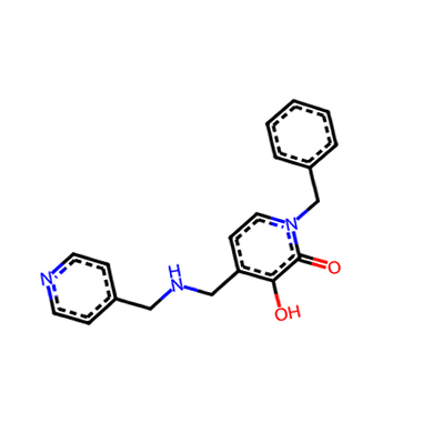 O=c1c(O)c(CNCc2ccncc2)ccn1Cc1ccccc1